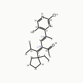 CCC1(/C(=C(/C=C(\C)c2nc(Cl)ncc2F)C(C)=O)C(C)C)CCCC1